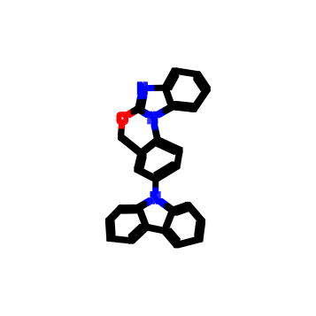 c1ccc2c(c1)nc1n2-c2ccc(-n3c4ccccc4c4ccccc43)cc2CO1